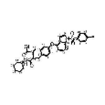 Cc1ccc(S(=O)(=O)n2ccc3c(Oc4ccc(C[C@@H](C(=O)NC5CCCCC5)N(C)C(=O)O)cc4)ccnc32)cc1